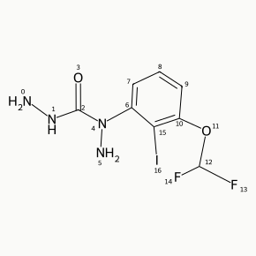 NNC(=O)N(N)c1cccc(OC(F)F)c1I